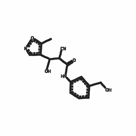 Cc1oncc1C(O)C(C#N)C(=O)Nc1cccc(CO)c1